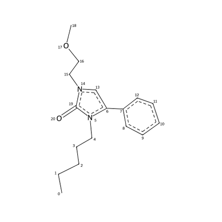 CCCCCn1c(-c2ccccc2)cn(CCOC)c1=O